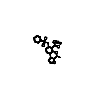 COC(=O)c1c(CS(=O)(=O)c2ccccc2)ccc2c1OC(C)c1occc1-2